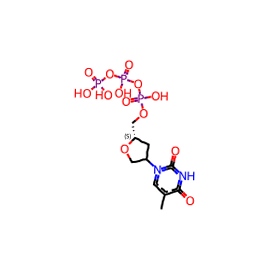 Cc1cn(C2CO[C@H](COP(=O)(O)OP(=O)(O)OP(=O)(O)O)C2)c(=O)[nH]c1=O